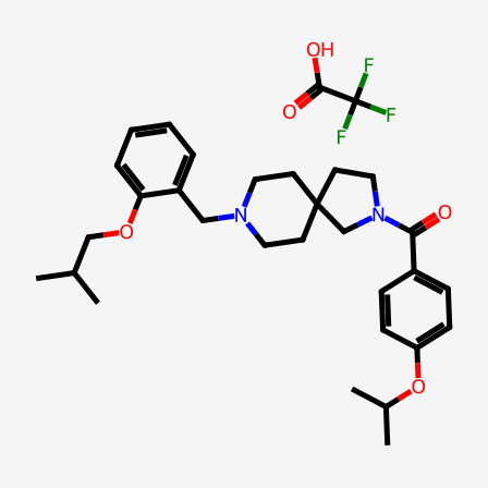 CC(C)COc1ccccc1CN1CCC2(CC1)CCN(C(=O)c1ccc(OC(C)C)cc1)C2.O=C(O)C(F)(F)F